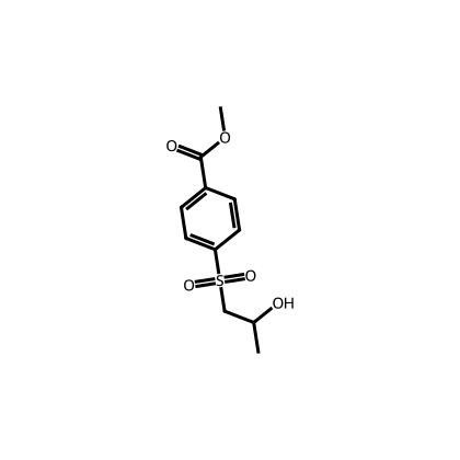 COC(=O)c1ccc(S(=O)(=O)CC(C)O)cc1